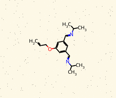 C=CCOc1cc(/C=N/C(C)C)cc(/C=N/C(C)C)c1